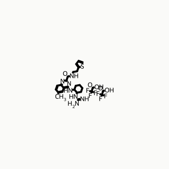 Cc1ccc2nc(C(=O)NCCc3cccs3)nc(NC3CCCCC3NC(=N)N)c2c1.O=C(O)C(F)(F)F.O=C(O)C(F)(F)F